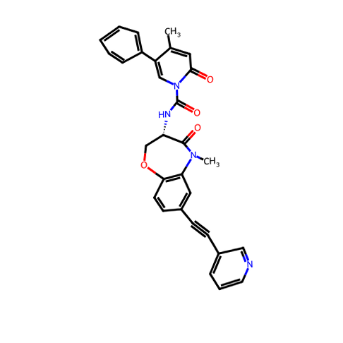 Cc1cc(=O)n(C(=O)N[C@H]2COc3ccc(C#Cc4cccnc4)cc3N(C)C2=O)cc1-c1ccccc1